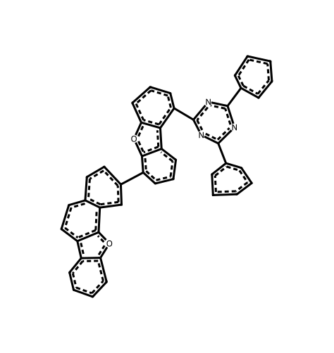 c1ccc(-c2nc(-c3ccccc3)nc(-c3cccc4oc5c(-c6ccc7ccc8c9ccccc9oc8c7c6)cccc5c34)n2)cc1